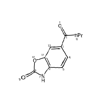 CCCC(=O)c1ccc2[nH]c(=O)oc2c1